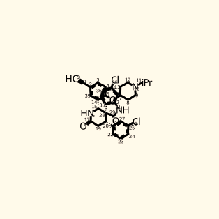 C#Cc1ccc(OC2CCN(C(C)C)CC2)c([C@H]2NC(=O)C[C@@H](c3cccc(Cl)c3)[C@]23C(=O)Nc2cc(Cl)ccc23)c1